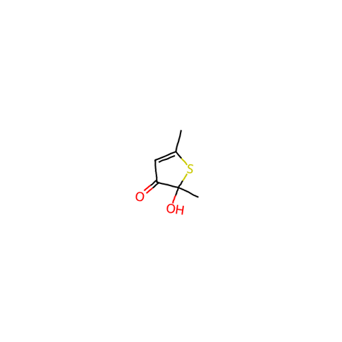 CC1=CC(=O)C(C)(O)S1